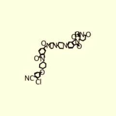 N#Cc1ccc(O[C@H]2CC[C@H](N3Cc4cc(C(=O)N5CCN(C6CCN(c7ccc8c(c7)C(=O)N(C7CCC(=O)NC7=O)C8=O)CC6)CC5)ccc4C3=O)CC2)cc1Cl